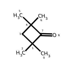 CC1(C)[CH]C(C)(C)C1=O